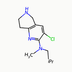 CC(C)CN(C)c1nc2c(cc1Cl)CNCC2